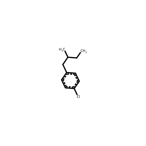 CCC(C)Cc1ccc(Cl)cc1